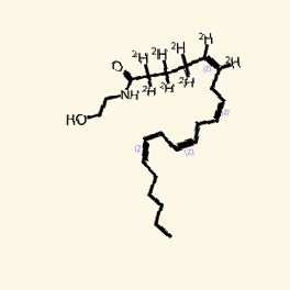 [2H]/C(C/C=C\C/C=C\C/C=C\CCCCC)=C(\[2H])C([2H])([2H])C([2H])([2H])C([2H])([2H])C(=O)NCCO